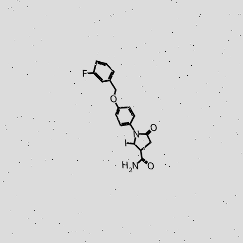 NC(=O)C1CC(=O)N(c2ccc(OCc3cccc(F)c3)cc2)C1I